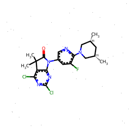 C[C@@H]1C[C@H](C)CN(c2ncc(N3C(=O)C(C)(C)c4c(Cl)nc(Cl)nc43)cc2F)C1